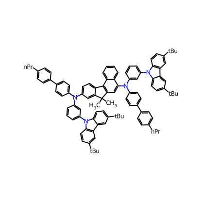 CCCc1ccc(-c2ccc(N(c3cccc(-n4c5ccc(C(C)(C)C)cc5c5cc(C(C)(C)C)ccc54)c3)c3ccc4c(c3)C(C)(C)c3cc(N(c5ccc(-c6ccc(CCC)cc6)cc5)c5cccc(-n6c7ccc(C(C)(C)C)cc7c7cc(C(C)(C)C)ccc76)c5)c5ccccc5c3-4)cc2)cc1